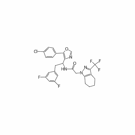 O=C(Cn1nc(C(F)(F)F)c2c1CCCC2)NC(Cc1cc(F)cc(F)c1)c1ncoc1-c1ccc(Cl)cc1